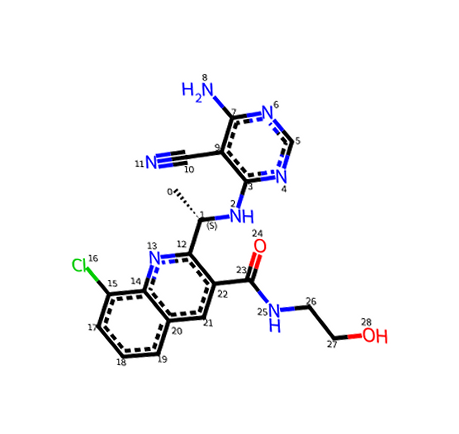 C[C@H](Nc1ncnc(N)c1C#N)c1nc2c(Cl)cccc2cc1C(=O)NCCO